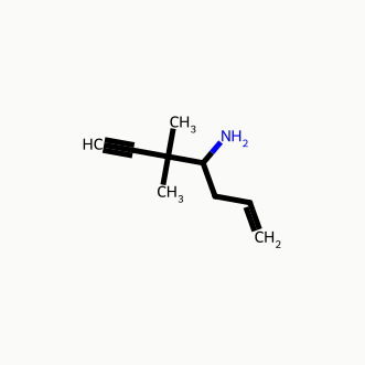 C#CC(C)(C)C(N)CC=C